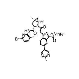 CCCNC(=O)c1nn(CC(=O)N2[C@H](C(=O)Nc3nc(Br)ccc3C)C[C@@]3(C)C[C@@H]23)c2ccc(-c3cnc(C)nc3)cc12